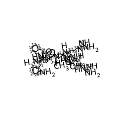 CC(C)C[C@H](NC(=O)[C@H](Cc1ccccc1)NC(=O)[C@@H](N)Cc1ccccc1N)C(=O)NCC(=O)N[C@@H](CCCNC(=N)N)C(=O)N[C@@H](CCCNC(=N)N)C(=O)O